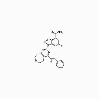 NC(=O)c1cc(F)cc2c1cnn2-c1nc2c(c(NCc3ccccc3)n1)CCOCC2